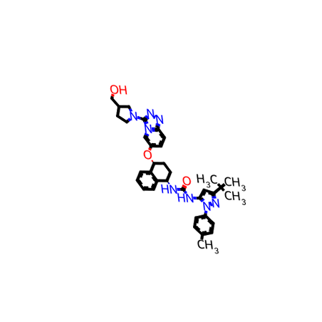 Cc1ccc(-n2nc(C(C)(C)C)cc2NC(=O)N[C@H]2CC[C@@H](Oc3ccc4nnc(N5CCC(CO)C5)n4c3)c3ccccc32)cc1